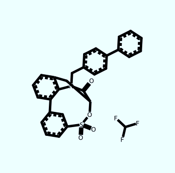 FC(F)F.O=C1C2Cc3cccc(c3N1Cc1ccc(-c3ccccc3)cc1)-c1cccc(c1)S(=O)(=O)O2